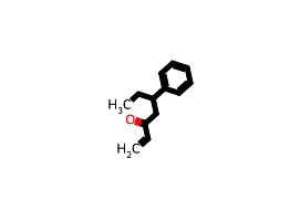 C=CC(=O)CC(CC)c1ccccc1